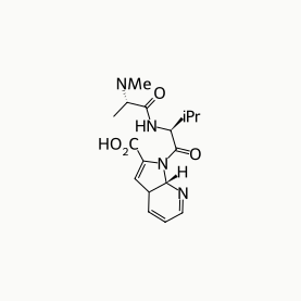 CN[C@@H](C)C(=O)N[C@H](C(=O)N1C(C(=O)O)=CC2C=CC=N[C@H]21)C(C)C